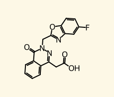 O=C(O)Cc1nn(Cc2nc3cc(F)ccc3o2)c(=O)c2ccccc12